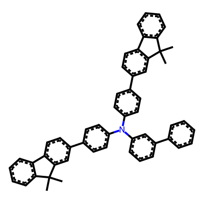 CC1(C)c2ccccc2-c2ccc(-c3ccc(N(c4ccc(-c5ccc6c(c5)C(C)(C)c5ccccc5-6)cc4)c4cccc(-c5ccccc5)c4)cc3)cc21